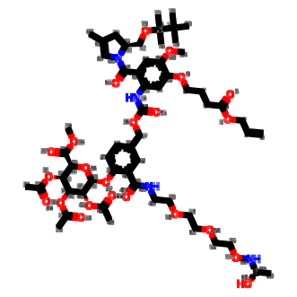 C=CCOC(=O)CCCOc1cc(NC(=O)OCc2ccc(O[C@@H]3O[C@H](C(=O)OC)[C@@H](OC(C)=O)[C@H](OC(C)=O)[C@H]3OC(C)=O)c(C(=O)NCCOCCOCCONB(C)O)c2)c(C(=O)N2C=C(C)C[C@H]2CO[Si](C)(C)C(C)(C)C)cc1OC